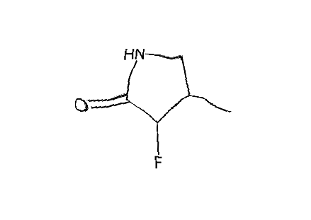 CC1CNC(=O)C1F